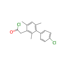 Cc1cc(C)c(-c2ccc(Cl)cc2)c(C)c1CC(=O)Cl